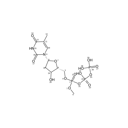 COP(=O)(OC[C@H]1O[C@@H](n2cc(C)c(=O)[nH]c2=O)CC1O)OP(=O)(O)OP(=O)(O)O